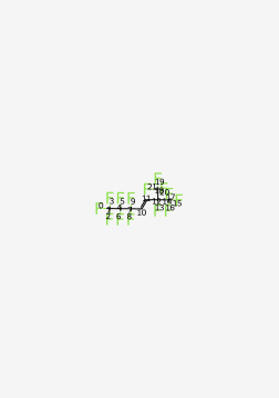 FC(F)(F)C(F)(F)C(F)(F)C=CC(F)(C(F)(F)F)C(F)(F)F